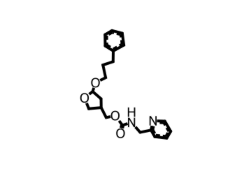 O=C(NCc1ccccn1)OCC1COC(OCCCc2ccccc2)C1